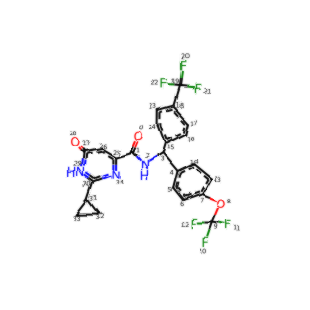 O=C(NC(c1ccc(OC(F)(F)F)cc1)c1ccc(C(F)(F)F)cc1)c1cc(=O)[nH]c(C2CC2)n1